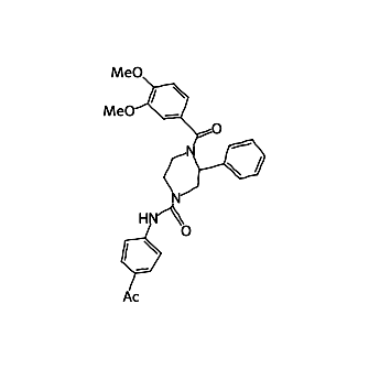 COc1ccc(C(=O)N2CCN(C(=O)Nc3ccc(C(C)=O)cc3)CC2c2ccccc2)cc1OC